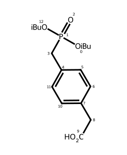 CC(C)COP(=O)(Cc1ccc(CC(=O)O)cc1)OCC(C)C